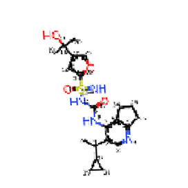 CC(c1cnc2c(c1NC(=O)NS(=N)(=O)c1cc(C(C)(C)O)co1)CCC2)C1CC1